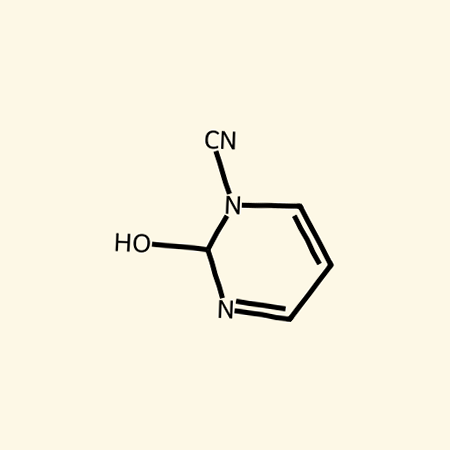 N#CN1C=CC=NC1O